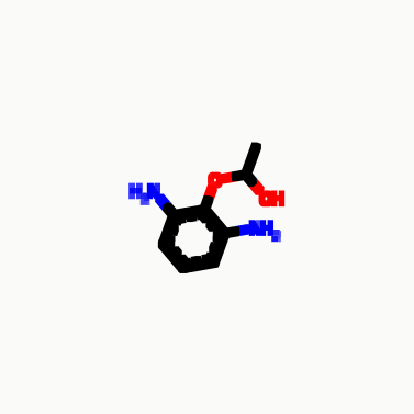 CC(O)Oc1c(N)cccc1N